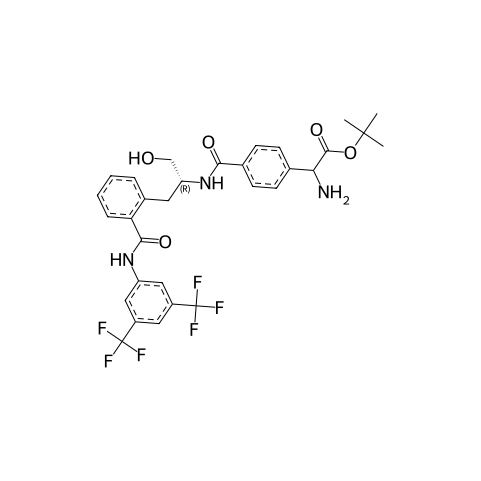 CC(C)(C)OC(=O)C(N)c1ccc(C(=O)N[C@@H](CO)Cc2ccccc2C(=O)Nc2cc(C(F)(F)F)cc(C(F)(F)F)c2)cc1